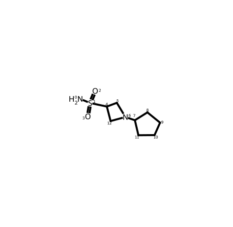 NS(=O)(=O)C1CN(C2CCCC2)C1